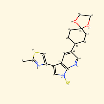 Cc1nc(-c2cn(S)c3ncc(C4CCC5(CC4)OCCO5)cc23)cs1